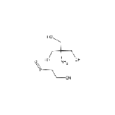 N#CCCP=O.NC(CO)(CO)CO